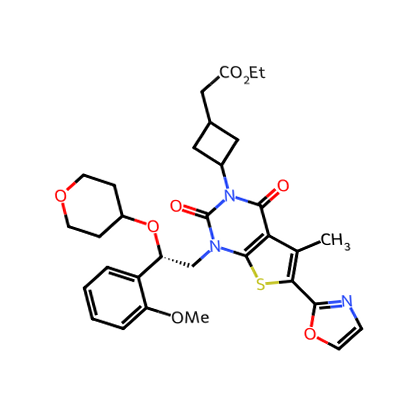 CCOC(=O)CC1CC(n2c(=O)c3c(C)c(-c4ncco4)sc3n(C[C@@H](OC3CCOCC3)c3ccccc3OC)c2=O)C1